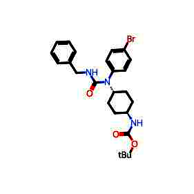 CC(C)(C)OC(=O)N[C@H]1CC[C@H](N(C(=O)NCc2ccccc2)c2ccc(Br)cc2)CC1